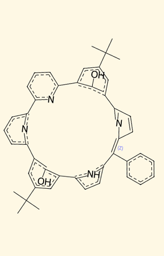 CC(C)(C)c1cc2c(O)c(c1)-c1cccc(n1)-c1cccc(n1)-c1cc(C(C)(C)C)cc(c1O)-c1ccc([nH]1)/C(c1ccccc1)=C1/C=CC2=N1